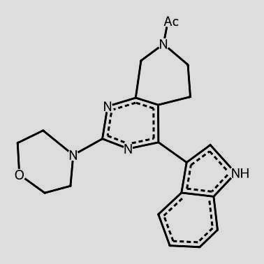 CC(=O)N1CCc2c(nc(N3CCOCC3)nc2-c2c[nH]c3ccccc23)C1